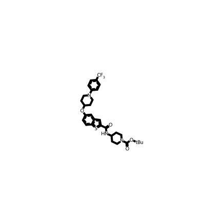 CC(C)(C)OC(=O)N1CCC(NC(=O)c2cc3cc(OC4CCN(c5ccc(C(F)(F)F)cc5)CC4)ccc3s2)CC1